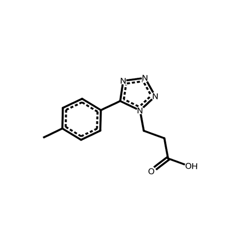 Cc1ccc(-c2nnnn2CCC(=O)O)cc1